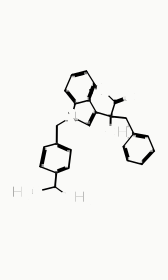 CC(C)c1ccc(Cn2cc(C(O)(Cc3ccccc3)C(=O)O)c3ccccc32)cc1